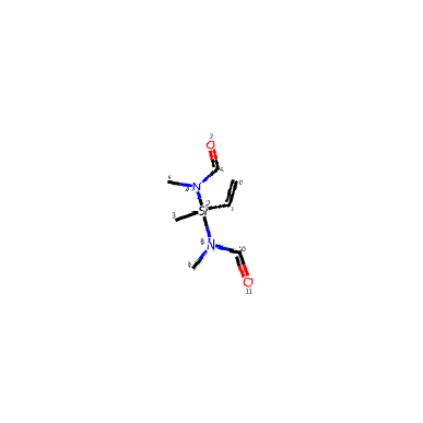 C=C[Si](C)(N(C)C=O)N(C)C=O